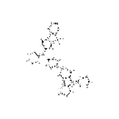 CC1(C)c2ccccc2-c2ccc(N(C3=CC=CCC3)c3ccc(-c4ccc5c(c4)c4ccccc4n5-c4ccccc4)cc3)cc21